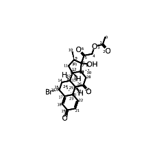 CC(=O)OCC(=O)[C@@]1(O)[C@H](C)C[C@H]2[C@@H]3C[C@@H](Br)C4=CC(=O)C=C[C@]4(C)[C@H]3C(=O)C[C@@]21C